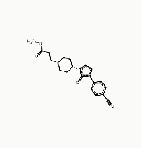 COC(=O)CC[C@H]1CC[C@H](n2ccn(-c3ccc(C#N)cc3)c2=O)CC1